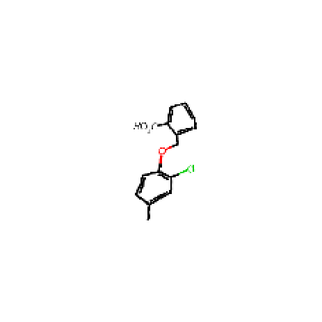 Cc1ccc(OCc2ccccc2C(=O)O)c(Cl)c1